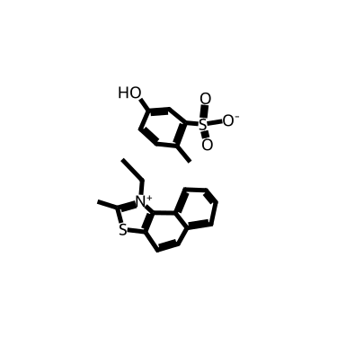 CC[n+]1c(C)sc2ccc3ccccc3c21.Cc1ccc(O)cc1S(=O)(=O)[O-]